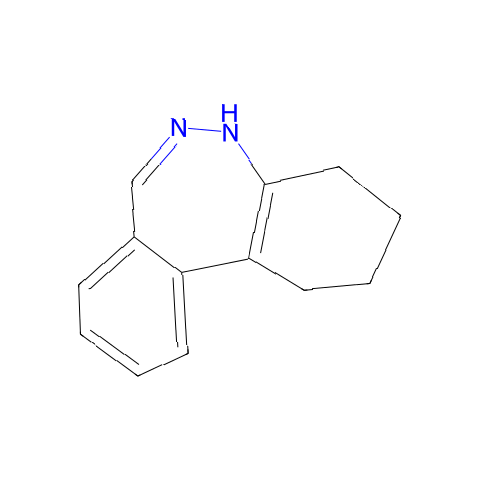 C1=NNC2=C(CCCC2)c2ccccc21